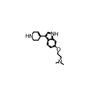 CN(C)CCOc1ccc2c(C3=CCNCC3)c[nH]c2c1